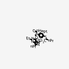 CCCCCCCC(=O)N(COc1nc(CC)nc2c(CCC)nn(C)c12)c1ccc(SC(CCC)C(=O)OCC)cc1